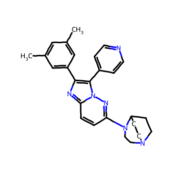 Cc1cc(C)cc(-c2nc3ccc(N4CCN5CCC4CC5)nn3c2-c2ccncc2)c1